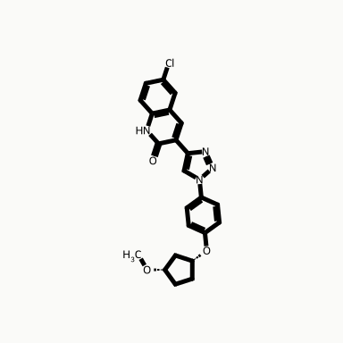 CO[C@H]1CC[C@@H](Oc2ccc(-n3cc(-c4cc5cc(Cl)ccc5[nH]c4=O)nn3)cc2)C1